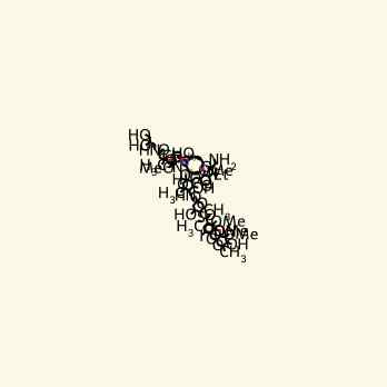 CCN(C(=O)CN)C1COCC(OC2C(O[C@H]3C#C/C=C\C#C[C@]4(O)CC(=O)C(NC(=O)OC)=C3/C4=C\CSSC(C)(C)CC(=O)NCC(O)CO)OC(C)C(NOC3CC(O)C(SC(=O)c4c(C)c(I)c(OC5OC(C)C(O)C(OC)C5O)c(OC)c4OC)C(C)O3)C2O)C1OC